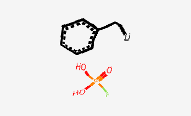 O=P(O)(O)F.[Li][CH2]c1ccccc1